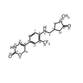 CN1CC(CNc2ccc(C3=NNC(=O)OC3)cc2C(F)(F)F)CC1=O